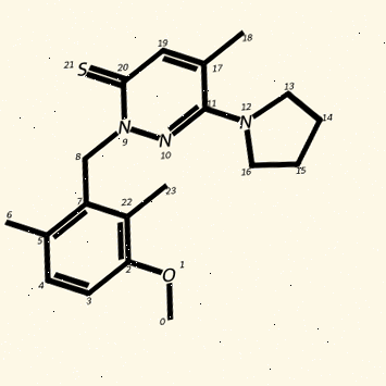 COc1ccc(C)c(Cn2nc(N3CCCC3)c(C)cc2=S)c1C